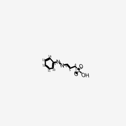 O=S(=O)(O)CC=CN=Nc1ccccc1